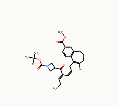 CC/C=C(\C=C/CC1=C(Br)CCCc2cc(C(=O)OC)ccc21)C(=O)C1CN(C(=O)OC(C)(C)C)C1